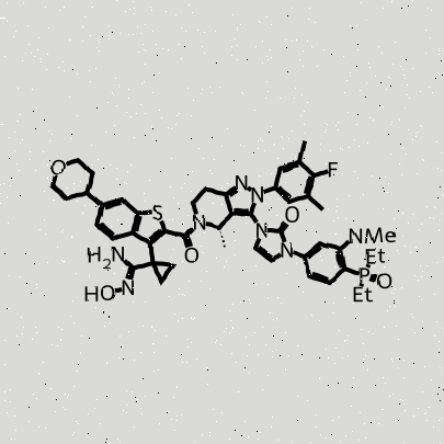 CCP(=O)(CC)c1ccc(-n2ccn(-c3c4c(nn3-c3cc(C)c(F)c(C)c3)CCN(C(=O)c3sc5cc(C6CCOCC6)ccc5c3C3(/C(N)=N/O)CC3)[C@H]4C)c2=O)cc1NC